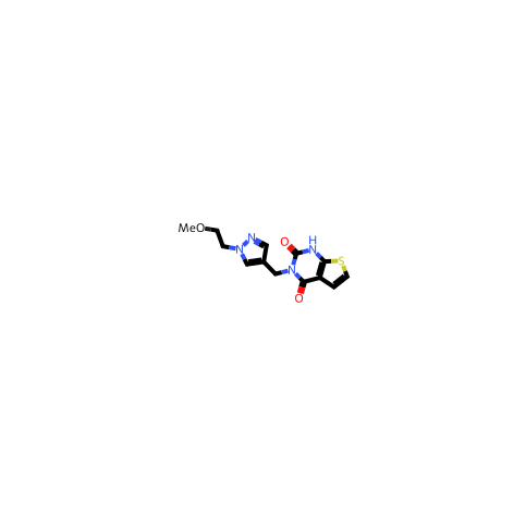 COCCn1cc(Cn2c(=O)[nH]c3sccc3c2=O)cn1